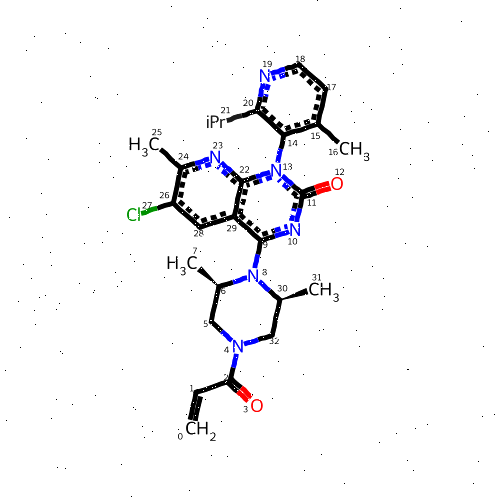 C=CC(=O)N1C[C@@H](C)N(c2nc(=O)n(-c3c(C)ccnc3C(C)C)c3nc(C)c(Cl)cc23)[C@@H](C)C1